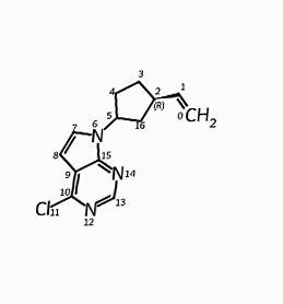 C=C[C@@H]1CCC(n2ccc3c(Cl)ncnc32)C1